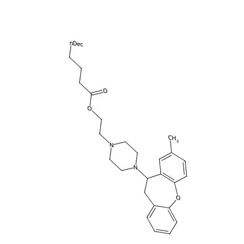 CCCCCCCCCCCCCC(=O)OCCN1CCN(C2Cc3ccccc3Oc3ccc(C)cc32)CC1